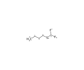 CCCCSC(F)F